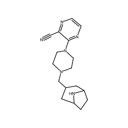 N#Cc1nccnc1N1CCN(CC2CC3CCC(C2)N3)CC1